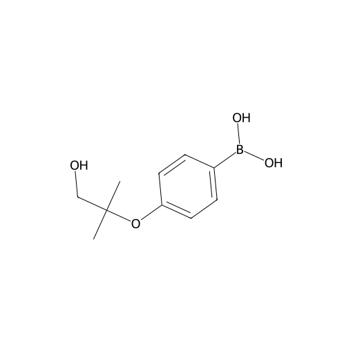 CC(C)(CO)Oc1ccc(B(O)O)cc1